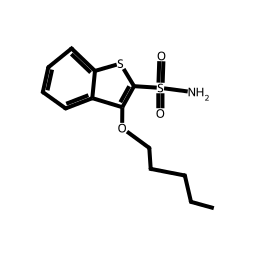 CCCCCOc1c(S(N)(=O)=O)sc2ccccc12